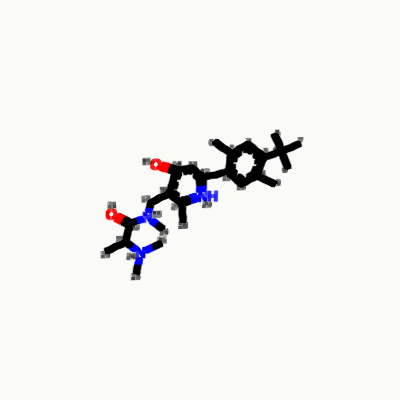 Cc1cc(C(C)(C)C)c(C)cc1-c1cc(=O)c(CN(C)C(=O)C(C)N(C)C)c(C)[nH]1